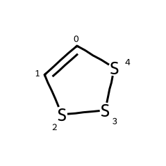 C1=CSSS1